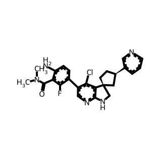 CN(C)C(=O)c1c(N)ccc(-c2cnc3c(c2Cl)[C@@]2(CC[C@@H](c4cccnc4)C2)CN3)c1F